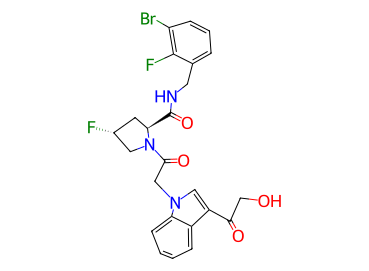 O=C(CO)c1cn(CC(=O)N2C[C@H](F)C[C@H]2C(=O)NCc2cccc(Br)c2F)c2ccccc12